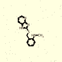 CNc1ccccc1CSc1nc2ncccc2[nH]1